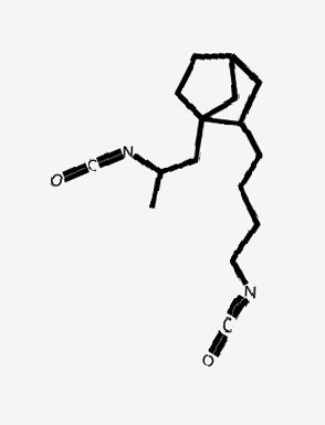 CC(CC12CCC(CC1CCCCN=C=O)C2)N=C=O